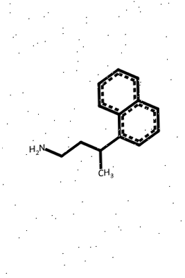 CC(CCN)c1cccc2ccccc12